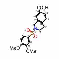 COc1ccc(S(=O)(=O)N2CCc3ccc(C(=O)O)cc3C2)cc1OC